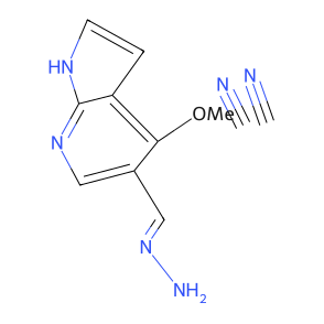 C#N.C#N.COc1c(C=NN)cnc2[nH]ccc12